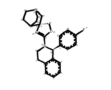 Fc1ccc([C@H]2c3ccccc3CCN2C2=N[C@]3(CO2)CN2CCC3CC2)cc1